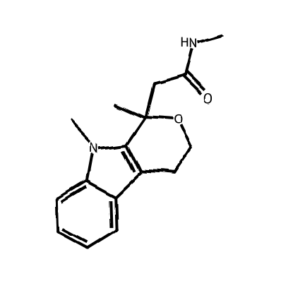 CNC(=O)CC1(C)OCCc2c1n(C)c1ccccc21